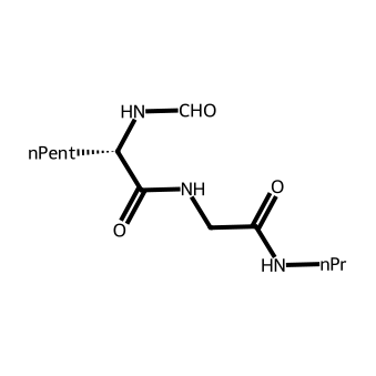 CCCCC[C@H](NC=O)C(=O)NCC(=O)NCCC